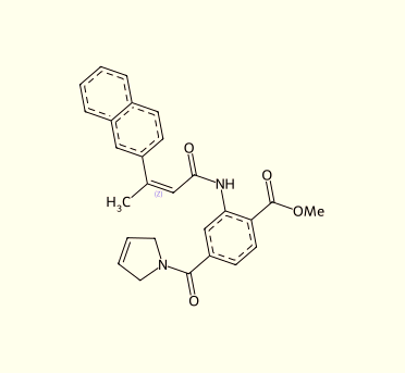 COC(=O)c1ccc(C(=O)N2CC=CC2)cc1NC(=O)/C=C(/C)c1ccc2ccccc2c1